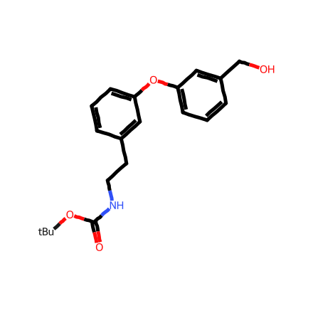 CC(C)(C)OC(=O)NCCc1cccc(Oc2cccc(CO)c2)c1